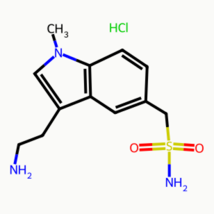 Cl.Cn1cc(CCN)c2cc(CS(N)(=O)=O)ccc21